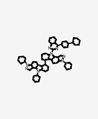 c1ccc(-c2ccc(-c3nc(-n4c5cccc(-c6cccc7c6c6ccc8c(cnn8-c8ccccc8)c6n7-c6ccccc6)c5c5ccc6c(cnn6-c6ccccc6)c54)nc4ccccc34)cc2)cc1